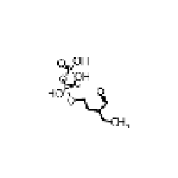 CCC(C=O)CCOP(=O)(O)OP(=O)(O)O